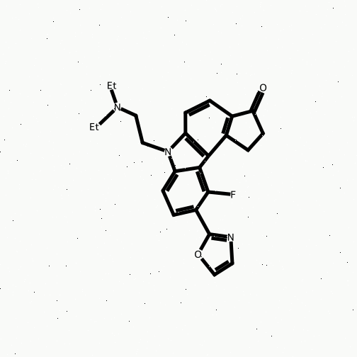 CCN(CC)CCn1c2ccc(-c3ncco3)c(F)c2c2c3c(ccc21)C(=O)CC3